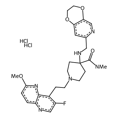 CNC(=O)C1(NCc2cc3c(cn2)OCCO3)CCN(CCc2c(F)cnc3ccc(OC)nc23)CC1.Cl.Cl